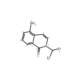 CCC(CC)n1ccc2c(N)cccc2c1=O